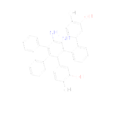 Cc1ccc(-c2ccccc2-c2c(N)c(N)c(-c3ccccc3)c(-c3ccccc3)c2-c2ccc(C)c(O)c2)cc1O